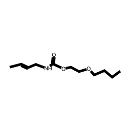 CC=CCNC(=O)OCCOCCCC